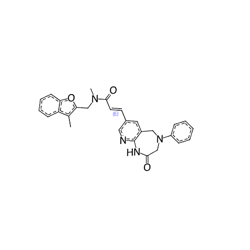 Cc1c(CN(C)C(=O)/C=C/c2cnc3c(c2)CN(c2ccccc2)CC(=O)N3)oc2ccccc12